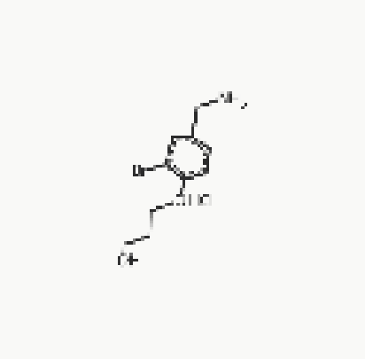 Cl.NCc1ccc(OCCCO)c(Br)c1